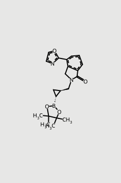 CC1(C)OB([C@@H]2C[C@H]2CN2Cc3c(cccc3-c3ncco3)C2=O)OC1(C)C